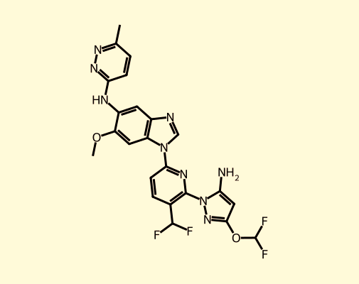 COc1cc2c(cc1Nc1ccc(C)nn1)ncn2-c1ccc(C(F)F)c(-n2nc(OC(F)F)cc2N)n1